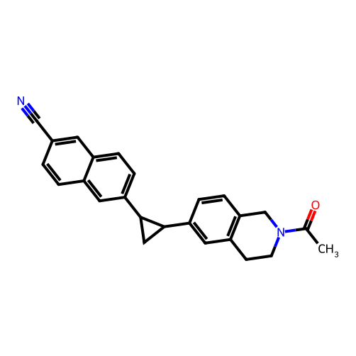 CC(=O)N1CCc2cc(C3CC3c3ccc4cc(C#N)ccc4c3)ccc2C1